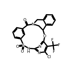 O=C1c2cccc(c2)S(=O)(=O)Nc2nc(Cl)c(C(F)(F)F)c(n2)OC2CN1Cc1ccccc12